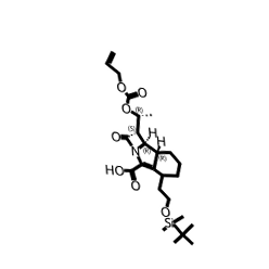 C=CCOC(=O)O[C@H](C)[C@H]1C(=O)N2C(C(=O)O)=C3C(CCO[Si](C)(C)C(C)(C)C)CCC[C@H]3[C@H]12